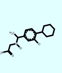 CC(c1ccc(C2CCCCC2)c(Cl)c1)[S+]([O-])CC(N)=O